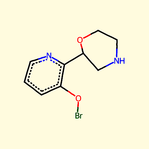 BrOc1cccnc1C1CNCCO1